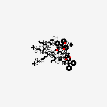 CC[C@H](C)[C@H](NC(=O)[C@H](CCC(=O)OC(C)(C)C)NC(=O)[C@H](CCCCNC(=O)OC(C)(C)C)NC(=O)[C@H](CCC(=O)NC(c1ccccc1)(c1ccccc1)c1ccccc1)NC(=O)[C@@H](NC(=O)[C@H](CC(=O)NC(c1ccccc1)(c1ccccc1)c1ccccc1)NC(=O)[C@@H](NC(=O)[C@@H](NC(=O)[C@H](COC(C)(C)C)NC(C)=O)C(C)C)C(C)C)[C@@H](C)CC)C(=O)N[C@@H](CC(=O)O)C(=O)O